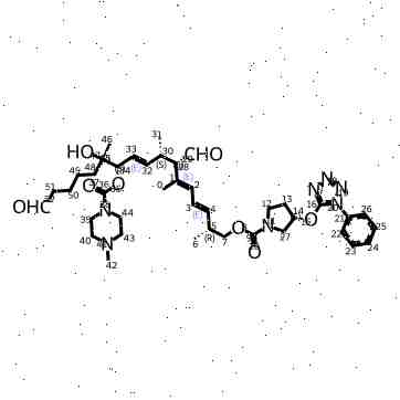 C/C(=C\C=C\[C@@H](C)COC(=O)N1CC[C@H](Oc2nnnn2-c2ccccc2)C1)[C@@H](C=O)[C@@H](C)/C=C/[C@H](OC(=O)N1CCN(C)CC1)[C@@](C)(O)CCCCC=O